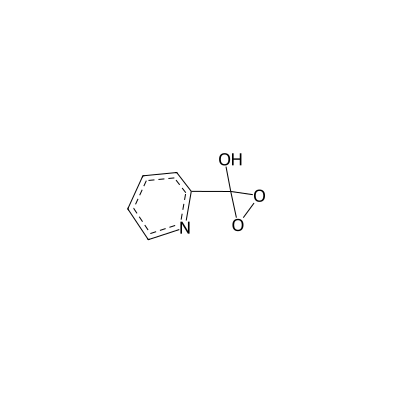 OC1(c2ccccn2)OO1